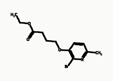 CCOC(=O)CCCOc1ccc(C)nc1Br